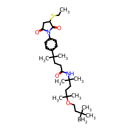 BC(C)(C)CCOC(C)(C)CCC(C)(C)NC(=O)CCC(C)(C)c1ccc(N2C(=O)CC(SCC)C2=O)cc1